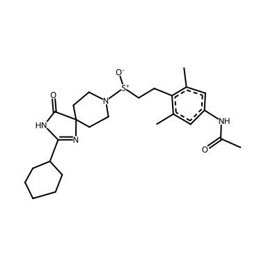 CC(=O)Nc1cc(C)c(CC[S+]([O-])N2CCC3(CC2)N=C(C2CCCCC2)NC3=O)c(C)c1